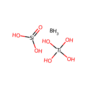 B.O=[Si](O)O.[OH][Ti]([OH])([OH])[OH]